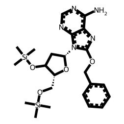 C[Si](C)(C)OC[C@H]1O[C@@H](n2c(OCc3ccccc3)nc3c(N)ncnc32)CC1O[Si](C)(C)C